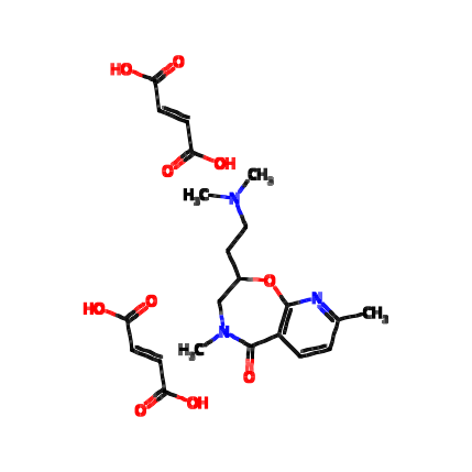 Cc1ccc2c(n1)OC(CCN(C)C)CN(C)C2=O.O=C(O)C=CC(=O)O.O=C(O)C=CC(=O)O